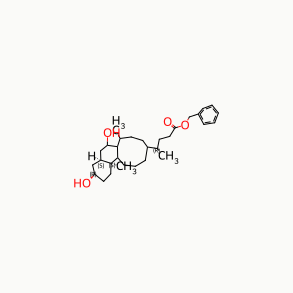 CC1CCC([C@H](C)CCC(=O)OCc2ccccc2)CCCC2C1C(O)C[C@@H]1C[C@H](O)CC[C@]21C